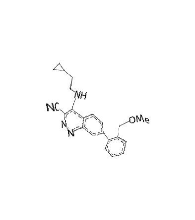 COCc1ccccc1-c1ccc2c(NCCC3CC3)c(C#N)nnc2c1